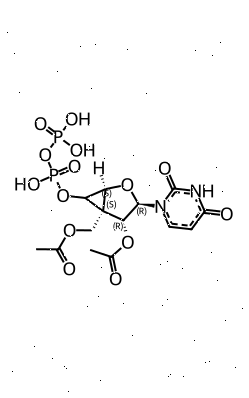 CC(=O)OC[C@]12C(OP(=O)(O)OP(=O)(O)O)[C@H]1O[C@@H](n1ccc(=O)[nH]c1=O)[C@@H]2OC(C)=O